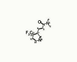 CN(C)C(=O)C=Cc1cnccc1C(F)(F)F